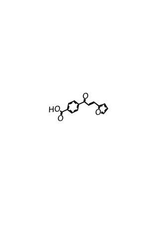 O=C(O)c1ccc(C(=O)C=Cc2ccco2)cc1